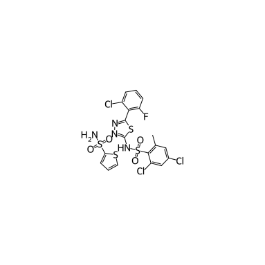 Cc1cc(Cl)cc(Cl)c1S(=O)(=O)Nc1nnc(-c2c(F)cccc2Cl)s1.NS(=O)(=O)c1cccs1